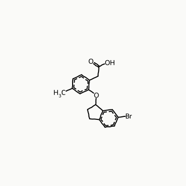 Cc1ccc(CC(=O)O)c(OC2CCc3ccc(Br)cc32)c1